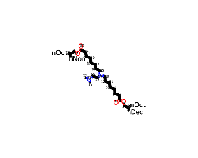 CCCCCCCCCCC(CCCCCCCC)COC(=O)CCCCCCCN(CCCCCCCC(=O)OCC(CCCCCCCC)CCCCCCCCC)CCN(C)C